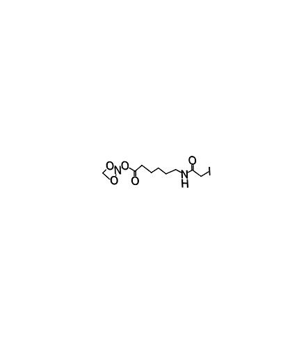 O=C(CI)NCCCCCC(=O)ON1OCCO1